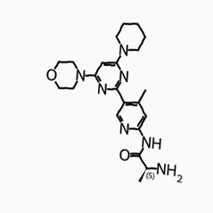 Cc1cc(NC(=O)[C@H](C)N)ncc1-c1nc(N2CCCCC2)cc(N2CCOCC2)n1